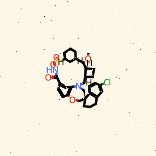 CO[C@H]1[C@H]2CCC[C@H](C2)S(=O)(=O)NC(=O)c2ccc3c(c2)N(C[C@@H]2CC[C@H]21)C[C@@]1(CCCc2cc(Cl)ccc21)CO3